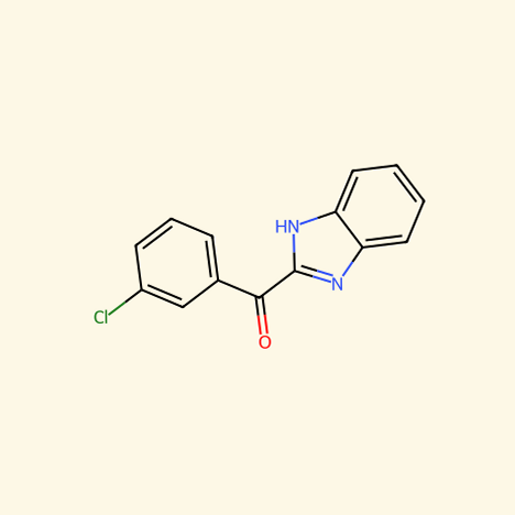 O=C(c1cccc(Cl)c1)c1nc2ccccc2[nH]1